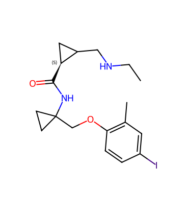 CCNCC1C[C@@H]1C(=O)NC1(COc2ccc(I)cc2C)CC1